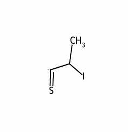 CC(I)[C]=S